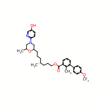 Cc1c(C(=O)OCCC[C@H](C)CCCC2CN(c3ccc(O)cn3)CC(C)O2)cccc1-c1ccc(OC(F)(F)F)cc1